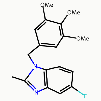 COc1cc(Cn2c(C)nc3cc(F)ccc32)cc(OC)c1OC